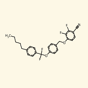 CCCCCc1ccc(C(F)(F)Oc2ccc(COc3ccc(C#N)c(F)c3F)cc2)cc1